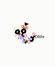 COC(=O)c1ccc(Oc2cnc(NC(=O)C(Oc3ccc(F)cc3F)c3ccc(S(=O)(=O)C4CC4)cc3)s2)nc1